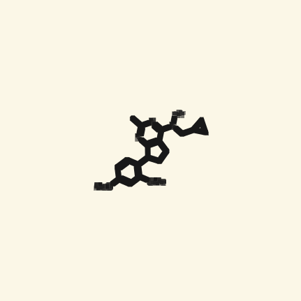 CCCN(CC1CC1)c1nc(C)nc2c1CCC2c1ccc(OC)cc1OC